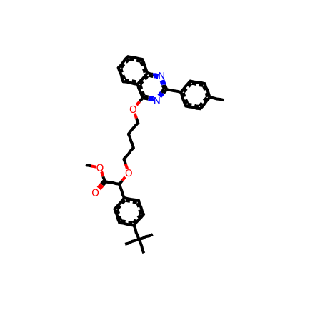 COC(=O)C(OCCCCOc1nc(-c2ccc(C)cc2)nc2ccccc12)c1ccc(C(C)(C)C)cc1